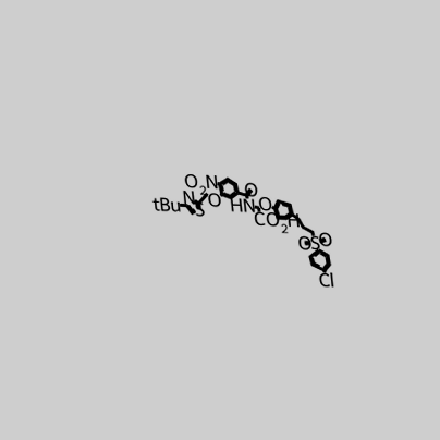 CC(C)(C)c1csc(COc2cc(C(=O)NC(Oc3ccc(CCCS(=O)(=O)c4ccc(Cl)cc4)cc3)C(=O)O)ccc2[N+](=O)[O-])n1